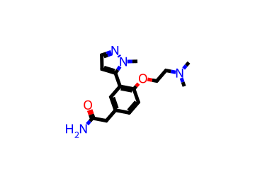 CN(C)CCOc1ccc(CC(N)=O)cc1-c1ccnn1C